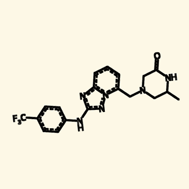 CC1CN(Cc2cccc3nc(Nc4ccc(C(F)(F)F)cc4)nn23)CC(=O)N1